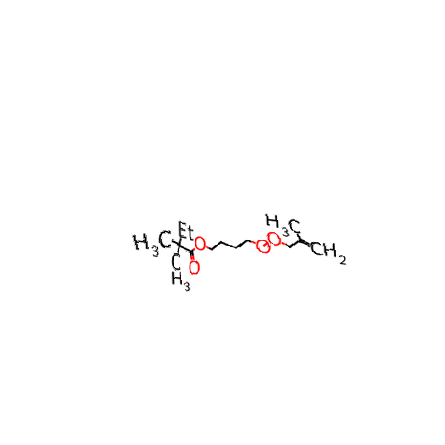 C=C(C)COOCCCCOC(=O)C(C)(C)CC